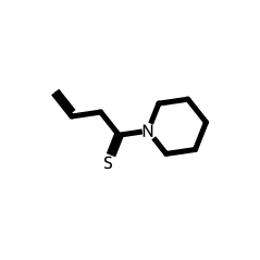 C=CCC(=S)N1CCCCC1